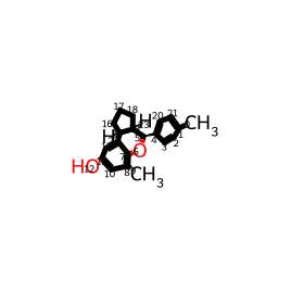 Cc1ccc([C@H]2Oc3c(C)cc(O)cc3[C@H]3CCC[C@H]32)cc1